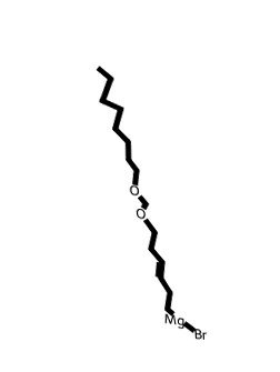 CCCCCCCCOCOCC/C=C/C[CH2][Mg][Br]